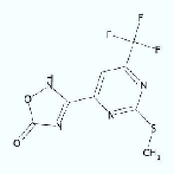 CSc1nc(-c2nc(=O)o[nH]2)cc(C(F)(F)F)n1